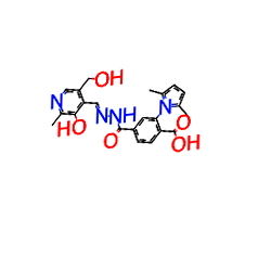 Cc1ncc(CO)c(/C=N/NC(=O)c2ccc(C(=O)O)c(-n3c(C)ccc3C)c2)c1O